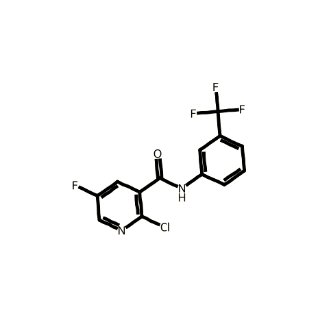 O=C(Nc1cccc(C(F)(F)F)c1)c1cc(F)cnc1Cl